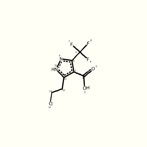 O=C(O)c1c(C(F)(F)F)n[nH]c1CCCl